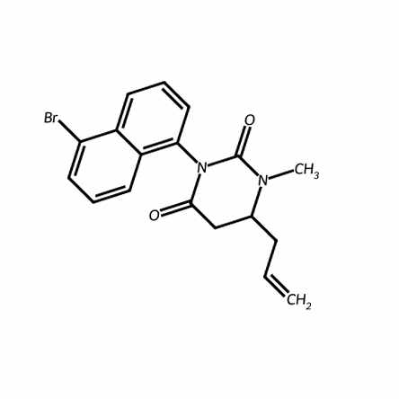 C=CCC1CC(=O)N(c2cccc3c(Br)cccc23)C(=O)N1C